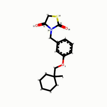 CC1(COc2cccc(CN3C(=O)CSC3=O)c2)CCCCC1